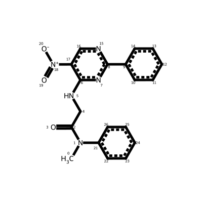 CN(C(=O)CNc1nc(-c2ccccc2)ncc1[N+](=O)[O-])c1ccccc1